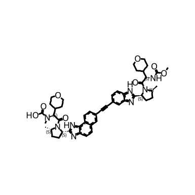 COC(=O)N[C@H](C(=O)N1[C@@H](C)CC[C@H]1c1nc2cc(C#Cc3ccc4c(ccc5nc([C@@H]6CC[C@H](C)N6C(=O)[C@H](C6CCOCC6)N(C)C(=O)O)[nH]c54)c3)ccc2[nH]1)C1CCOCC1